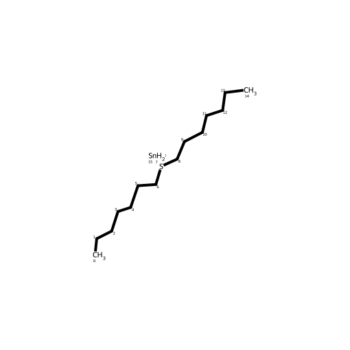 CCCCCCCSCCCCCCC.[SnH2]